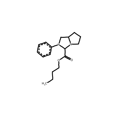 CCCCOC(=O)C1N(c2ccccc2)CC2CCCN21